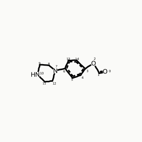 O=COc1ccc(N2CCNCC2)cc1